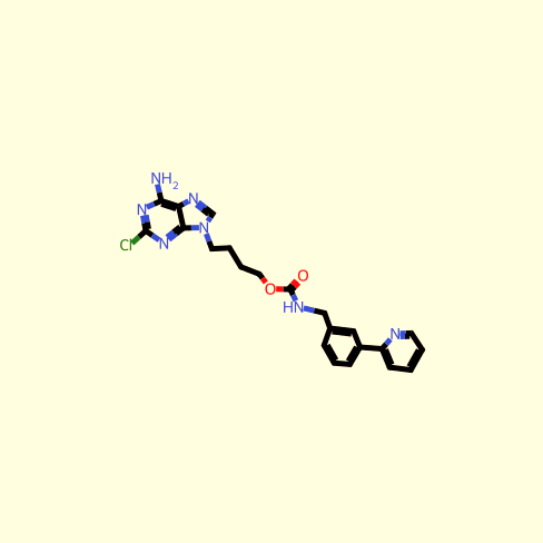 Nc1nc(Cl)nc2c1ncn2CCCCOC(=O)NCc1cccc(-c2ccccn2)c1